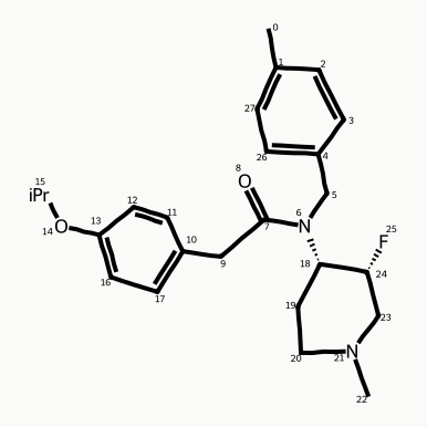 Cc1ccc(CN(C(=O)Cc2ccc(OC(C)C)cc2)[C@H]2CCN(C)C[C@H]2F)cc1